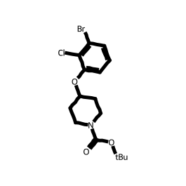 CC(C)(C)OC(=O)N1CCC(Oc2cccc(Br)c2Cl)CC1